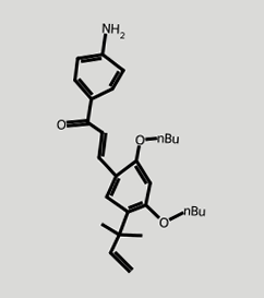 C=CC(C)(C)c1cc(C=CC(=O)c2ccc(N)cc2)c(OCCCC)cc1OCCCC